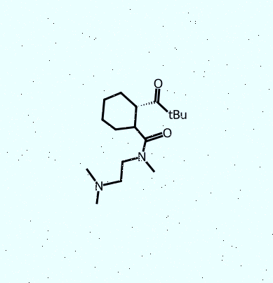 CN(C)CCN(C)C(=O)C1CCCC[C@@H]1C(=O)C(C)(C)C